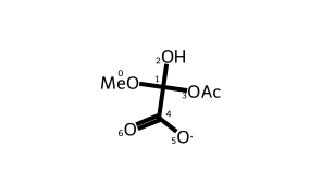 COC(O)(OC(C)=O)C([O])=O